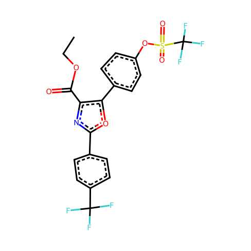 CCOC(=O)c1nc(-c2ccc(C(F)(F)F)cc2)oc1-c1ccc(OS(=O)(=O)C(F)(F)F)cc1